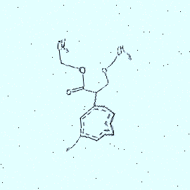 CCOC(=O)C(COC)c1cccc(F)c1